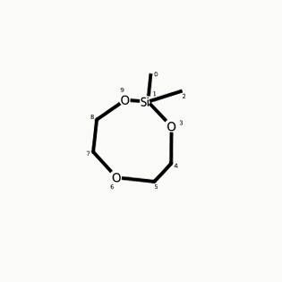 C[Si]1(C)OCCOCCO1